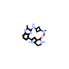 Cc1nc2cccc(-c3cc4c([nH]3)CCNC4=O)c2nc1NC1CC(N(C)C)C1